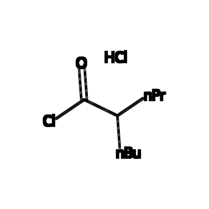 CCCCC(CCC)C(=O)Cl.Cl